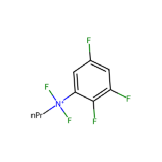 CCC[N+](F)(F)c1cc(F)cc(F)c1F